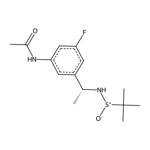 CC(=O)Nc1cc(F)cc([C@@H](C)N[S+]([O-])C(C)(C)C)c1